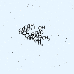 CCOc1c2c(cc(OC)c1OC)CCC(C(=O)NC(CO)C(=O)NC(CC(C)C)C(=O)C1(CO)CO1)C2